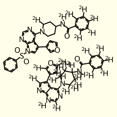 [2H]c1c([2H])c([2H])c(C(=O)N([2H])C2CCN(c3ncnc4c3c(-c3ccoc3)cn4S(=O)(=O)c3ccccc3)C([2H])C2)c([2H])c1[2H].[2H]c1nc2n([2H])c([2H])nc(N3C([2H])([2H])C([2H])([2H])C([2H])(N([2H])C(=O)c4c([2H])c([2H])c([2H])c([2H])c4[2H])C([2H])([2H])C3([2H])[2H])c-2c1-c1c([2H])oc([2H])c1[2H]